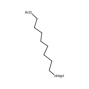 CCCCCCCCCCCCCC[CH]OC(C)=O